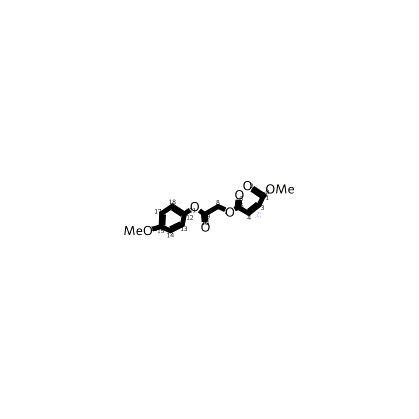 COC(=O)/C=C\C(=O)OCC(=O)Oc1ccc(OC)cc1